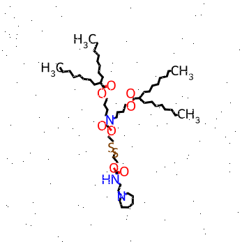 CCCCCCCCC(CCCCCCCC)C(=O)OCCCCN(CCCCOC(=O)C(CCCCCCCC)CCCCCCCC)C(=O)OCCSSCCOC(=O)NCCN1CCCCCC1